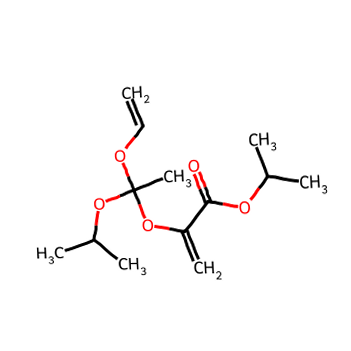 C=COC(C)(OC(=C)C(=O)OC(C)C)OC(C)C